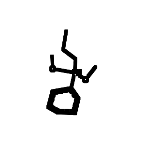 CCC[PH](OC)(OC)c1ccccc1